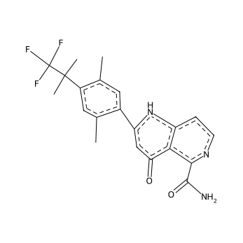 Cc1cc(C(C)(C)C(F)(F)F)c(C)cc1-c1cc(=O)c2c(C(N)=O)nccc2[nH]1